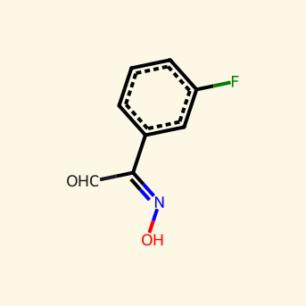 O=CC(=NO)c1cccc(F)c1